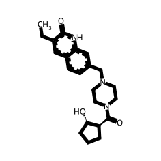 CCc1cc2ccc(CN3CCN(C(=O)[C@H]4CCC[C@@H]4O)CC3)cc2[nH]c1=O